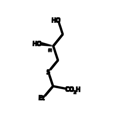 CCC(SC[C@H](O)CO)C(=O)O